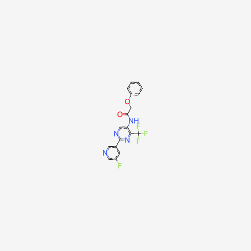 O=C(COc1ccccc1)Nc1cnc(-c2cncc(F)c2)nc1C(F)(F)F